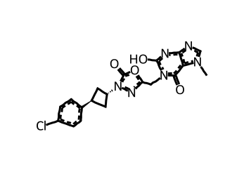 Cn1cnc2nc(O)n(Cc3nn([C@H]4C[C@H](c5ccc(Cl)cc5)C4)c(=O)o3)c(=O)c21